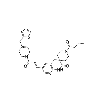 CCCC(=O)N1CCC2(CC1)Cc1cc(C=CC(=O)N3CC=C(Cc4cccs4)CC3)cnc1NC2=O